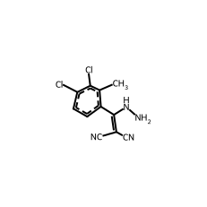 Cc1c(C(NN)=C(C#N)C#N)ccc(Cl)c1Cl